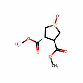 COC(=O)[C@@H]1C[S+]([O-])C[C@H]1C(=O)OC